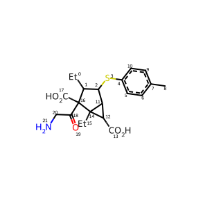 CCC1C(Sc2ccc(C)cc2)C2C(C(=O)O)C2(CC)C1(C(=O)O)C(=O)CN